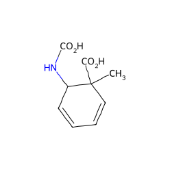 CC1(C(=O)O)C=CC=CC1NC(=O)O